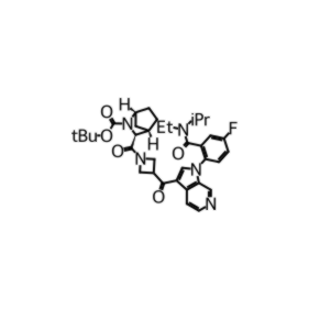 CCN(C(=O)c1cc(F)ccc1-n1cc(C(=O)C2CN(C(=O)[C@@H]3[C@H]4CC[C@H](C4)N3C(=O)OC(C)(C)C)C2)c2ccncc21)C(C)C